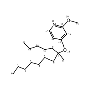 CCCCCCCC(C)(CCCCC)Oc1ccnc(OC)c1